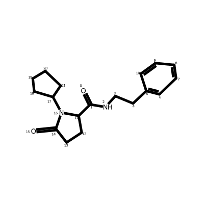 O=C(NCCc1ccccc1)C1CCC(=O)N1C1CCCC1